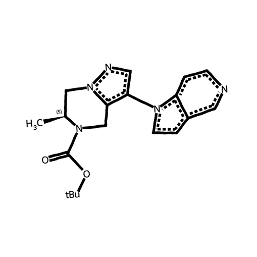 C[C@H]1Cn2ncc(-n3ccc4cnccc43)c2CN1C(=O)OC(C)(C)C